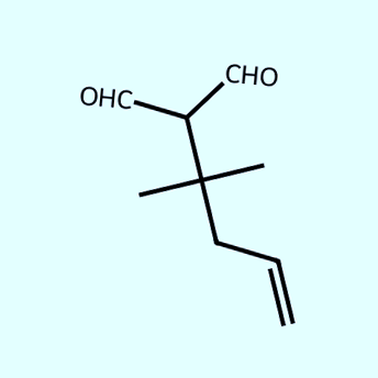 C=CCC(C)(C)C(C=O)C=O